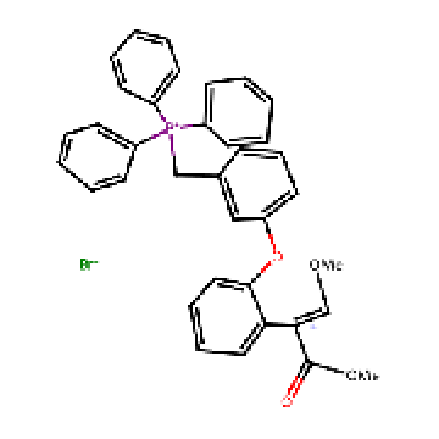 CO/C=C(/C(=O)OC)c1ccccc1Oc1cccc(C[P+](c2ccccc2)(c2ccccc2)c2ccccc2)c1.[Br-]